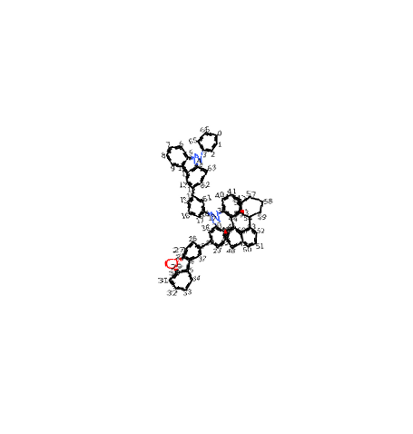 c1ccc(-n2c3ccccc3c3cc(-c4cccc(N(c5cccc(-c6ccc7oc8ccccc8c7c6)c5)c5ccccc5-c5cccc6cccc(C7CCCCC7)c56)c4)ccc32)cc1